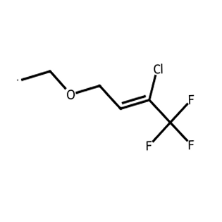 [CH2]COCC=C(Cl)C(F)(F)F